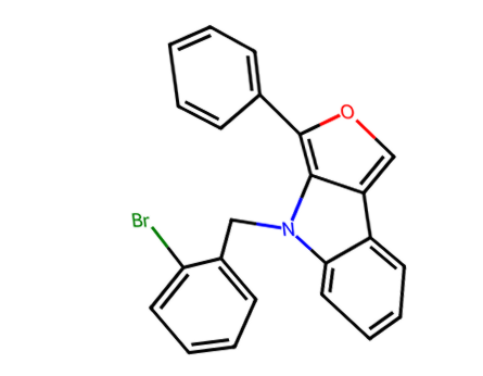 Brc1ccccc1Cn1c2ccccc2c2coc(-c3ccccc3)c21